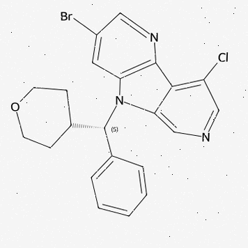 Clc1cncc2c1c1ncc(Br)cc1n2[C@H](c1ccccc1)C1CCOCC1